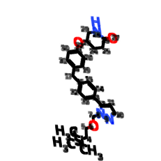 C[Si](C)(C)CCOCn1nccc1-c1ccc(Cc2ccc(O[C@@H]3CCC(=O)NC3)cc2)cc1